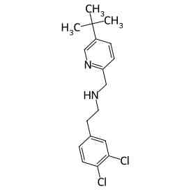 CC(C)(C)c1ccc(CNCCc2ccc(Cl)c(Cl)c2)nc1